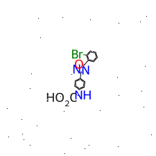 O=C(O)Nc1ccc(-c2noc(-c3ccccc3Br)n2)cc1